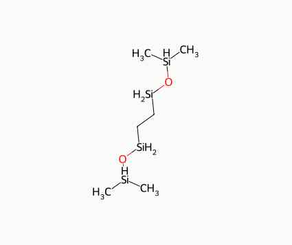 C[SiH](C)O[SiH2]CC[SiH2]O[SiH](C)C